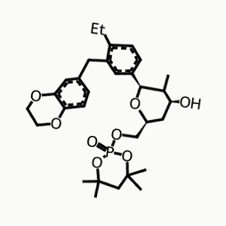 CCc1ccc([C@@H]2O[C@H](COP3(=O)OC(C)(C)CC(C)(C)O3)C[C@H](O)C2C)cc1Cc1ccc2c(c1)OCCO2